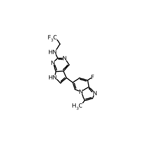 Cc1cnc2c(F)cc(-c3c[nH]c4nc(NCC(F)(F)F)ncc34)cn12